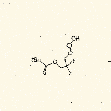 CC(C)(C)C(=O)OCC(F)(F)SOOO